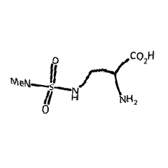 CNS(=O)(=O)NCC(N)C(=O)O